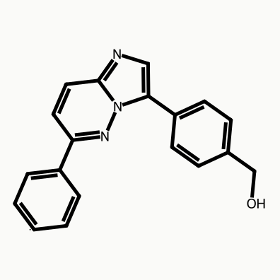 OCc1ccc(-c2cnc3ccc(-c4cc[c]cc4)nn23)cc1